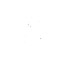 COc1ccc(C(=NO)c2ccco2)c(Cl)c1Cl